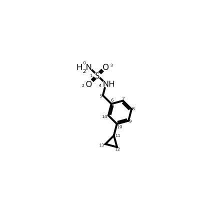 NS(=O)(=O)NCc1cccc(C2CC2)c1